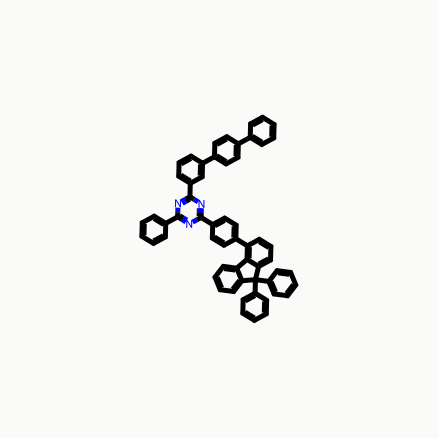 c1ccc(-c2ccc(-c3cccc(-c4nc(-c5ccccc5)nc(-c5ccc(-c6cccc7c6-c6ccccc6C7(c6ccccc6)c6ccccc6)cc5)n4)c3)cc2)cc1